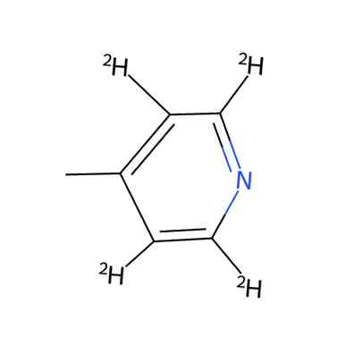 [2H]c1nc([2H])c([2H])c(C)c1[2H]